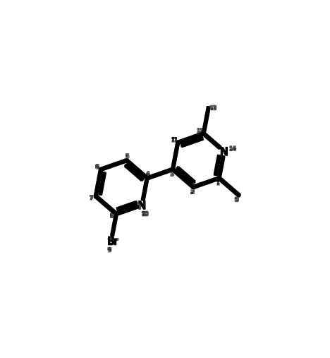 Cc1cc(-c2cccc(Br)n2)cc(C)n1